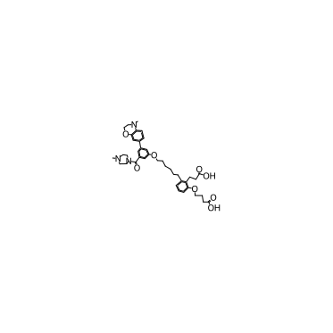 CN1CCN(C(=O)c2cc(OCCCCCCc3cccc(OCCCC(=O)O)c3CCC(=O)O)cc(-c3ccc4c(c3)OCCN4C)c2)CC1